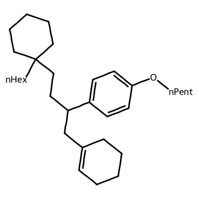 CCCCCCC1(CCC(CC2=CCCCC2)c2ccc(OCCCCC)cc2)CCCCC1